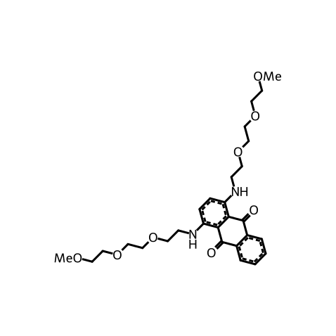 COCCOCCOCCNc1ccc(NCCOCCOCCOC)c2c1C(=O)c1ccccc1C2=O